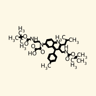 Cc1ccc(-c2c(CNC(=O)OC(C)(C)C)c(CC(C)C)nc3ccc(N(CCNC(=O)OC(C)(C)C)C(=O)C(=O)O)cc23)cc1